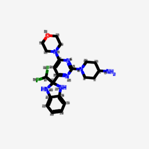 NC1CCN(c2nc(N3CCOCC3)cc(C3(C(F)F)Nc4ccccc4N3)n2)CC1